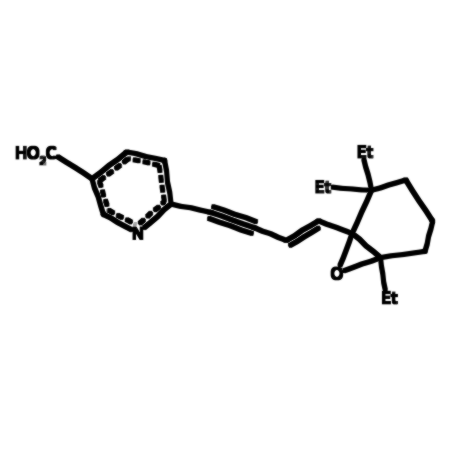 CCC1(CC)CCCC2(CC)OC12/C=C/C#Cc1ccc(C(=O)O)cn1